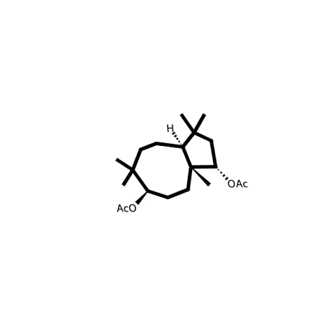 CC(=O)O[C@H]1CC(C)(C)[C@@H]2CCC(C)(C)[C@H](OC(C)=O)CC[C@@]12C